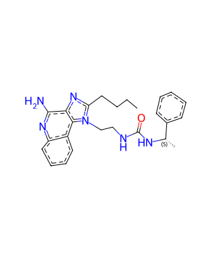 CCCCc1nc2c(N)nc3ccccc3c2n1CCNC(=O)N[C@@H](C)c1ccccc1